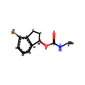 CC(C)(C)NC(=O)O[C@@H]1CCc2c(Br)cccc21